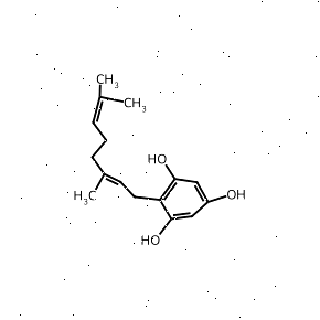 CC(C)=CCC/C(C)=C/Cc1c(O)cc(O)cc1O